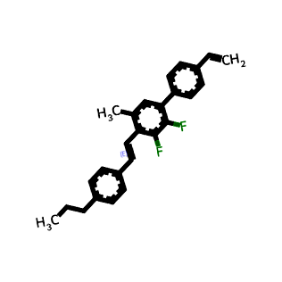 C=Cc1ccc(-c2cc(C)c(/C=C/c3ccc(CCC)cc3)c(F)c2F)cc1